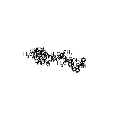 Cc1c(-c2ccc(N3CCc4cccc(C(=O)Nc5nc6ccccc6s5)c4C3)nc2C(=O)O)cnn1CC12CC3(C)CC(C)(C1)CC(OCCN(CCC(N)=O)C(=O)OCc1ccc(NC(=O)[C@H](C)NC(=O)[C@@H](N)C(C)C)cc1CCC1O[C@H](C(=O)O)[C@@H](O)[C@H](O)[C@H]1O)(C3)C2